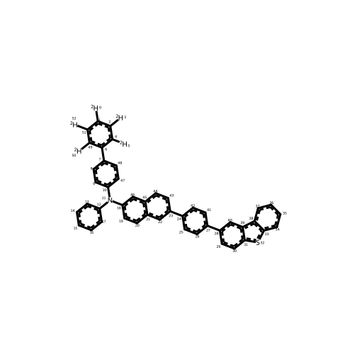 [2H]c1c([2H])c([2H])c(-c2ccc(N(c3ccccc3)c3ccc4cc(-c5ccc(-c6ccc7sc8ccccc8c7c6)cc5)ccc4c3)cc2)c([2H])c1[2H]